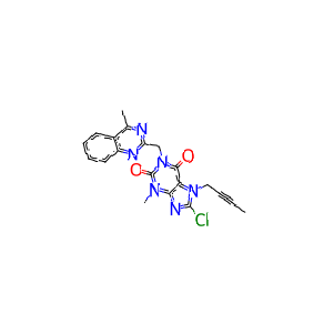 CC#CCn1c(Cl)nc2c1c(=O)n(Cc1nc(C)c3ccccc3n1)c(=O)n2C